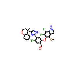 CSc1c(Oc2cc(-c3nc(C4(C)CCOc5ccccc54)c[nH]3)c(F)cc2C=O)c(F)c(F)c2[nH]ccc12